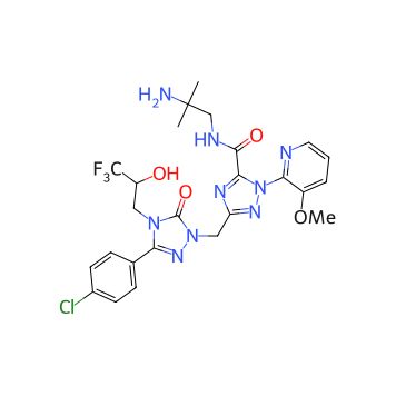 COc1cccnc1-n1nc(Cn2nc(-c3ccc(Cl)cc3)n(CC(O)C(F)(F)F)c2=O)nc1C(=O)NCC(C)(C)N